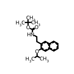 CC(C)Oc1cc2ccccc2cc1CCNC(=O)OC(C)(C)C